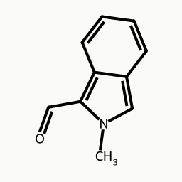 Cn1cc2ccccc2c1C=O